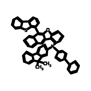 CC1(C)c2ccccc2-c2ccc(N(c3ccc(-c4ccccc4)cc3)c3cccc4oc5c(-c6cccc7c6sc6ccccc67)c6ccccc6cc5c34)cc21